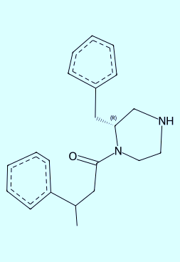 CC(CC(=O)N1CCNC[C@H]1Cc1ccccc1)c1ccccc1